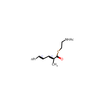 CCC/C=C/C=C(\C)C(=O)SCCNC(C)=O